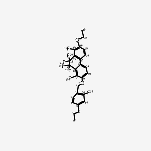 CCCc1ccc(COc2ccc3c(c2F)C(F)(F)C(F)(F)c2c-3ccc(OCC)c2F)c(F)c1